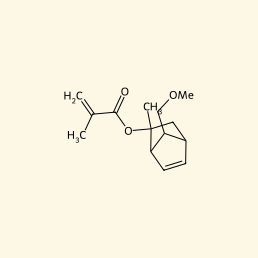 C=C(C)C(=O)OC1(C)CC2C=CC1C2COC